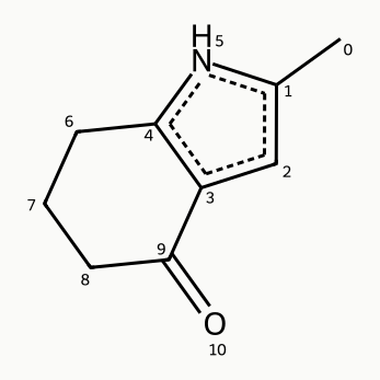 Cc1cc2c([nH]1)CCCC2=O